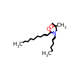 CCCCC=CN(CC1(C)CO1)C(=O)C=CCCCCCCC